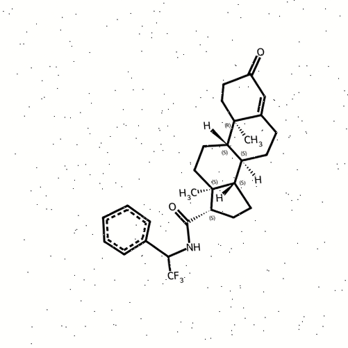 C[C@]12CC[C@H]3[C@@H](CCC4=CC(=O)CC[C@@]43C)[C@@H]1CC[C@@H]2C(=O)NC(c1ccccc1)C(F)(F)F